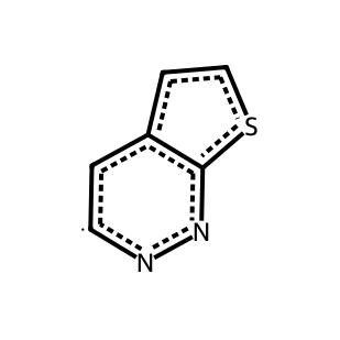 [c]1cc2ccsc2nn1